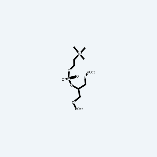 CCCCCCCCOCC(COCCCCCCCC)OP(=O)([O-])OCC[N+](C)(C)C